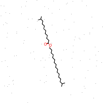 CC(C)CCCCCCCCCCCCCCCOC(=O)CCCCCCCCCC(C)C